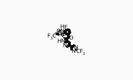 O=C(c1ccc(F)c(NS(=O)(=O)CCC(F)(F)F)c1F)c1c[nH]c2ncc(-c3cnc(C(F)(F)F)nc3)cc12